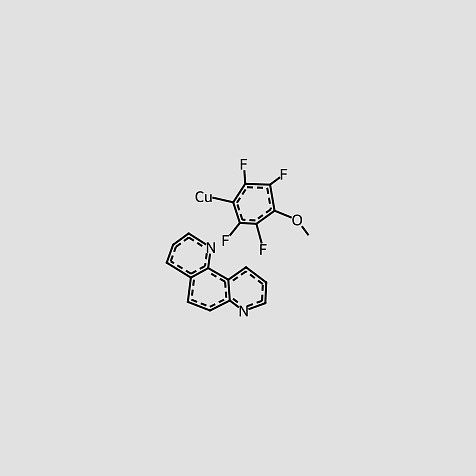 COc1c(F)c(F)[c]([Cu])c(F)c1F.c1cnc2c(c1)ccc1ncccc12